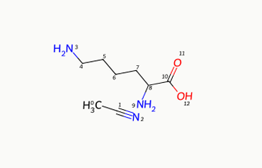 CC#N.NCCCCC(N)C(=O)O